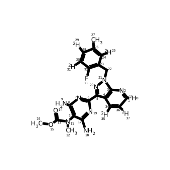 [2H]c1nc2c(c(-c3nc(N)c(N(C)C(=O)OC)c(N)n3)nn2Cc2c([2H])c(C)c([2H])c([2H])c2F)c([2H])c1[2H]